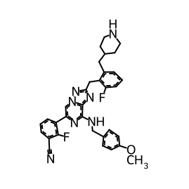 COc1ccc(CNc2nc(-c3cccc(C#N)c3F)cn3nc(Cc4c(F)cccc4CC4CCNCC4)nc23)cc1